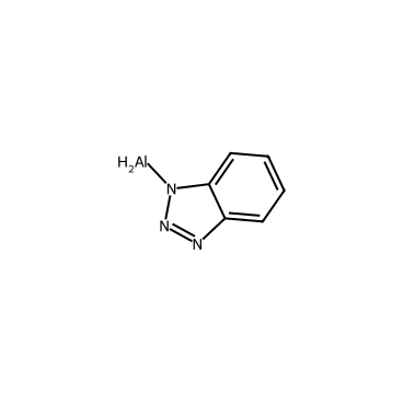 [AlH2][n]1nnc2ccccc21